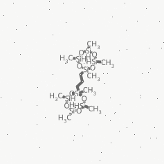 C[SiH]1O[SiH](C)O[Si](C)(CCC[Si]2(C)O[SiH](C)O[SiH](C)O[SiH](C)O2)O[SiH](C)O1